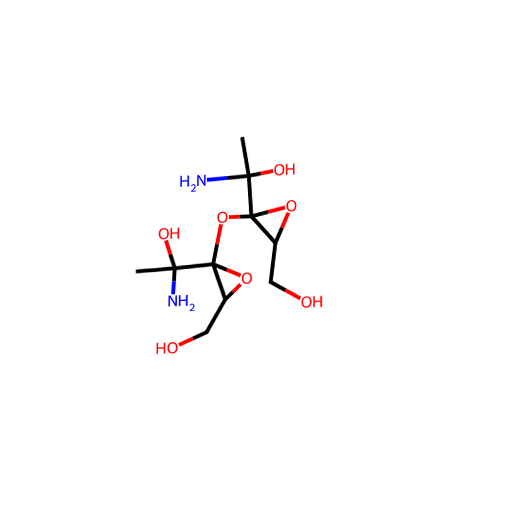 CC(N)(O)C1(OC2(C(C)(N)O)OC2CO)OC1CO